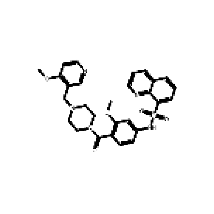 COc1ccncc1CN1CCN(C(=O)c2ccc(NS(=O)(=O)c3cccc4cccnc34)cc2OC)CC1